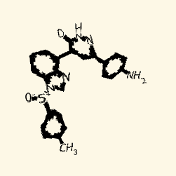 Cc1ccc([S+]([O-])n2cnc3c(-c4cc(-c5ccc(N)cc5)n[nH]c4=O)cccc32)cc1